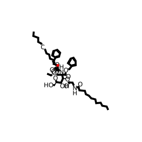 CCCCCCCCCCCCCC(=O)N[C@]1(C(=O)OCc2ccccc2)[C@@H](OC(=O)CNC(=O)CCCCCCCCCCC)[C@H](O)[C@@H](CO)O[C@]1(CC(=O)OCc1ccccc1)OCC